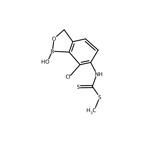 CSC(=S)Nc1ccc2c(c1Cl)B(O)OC2